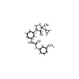 Cc1cccc(CC(=O)Nc2cc(N3CC[C@@](C#N)(C4CC4)C3=O)ccn2)c1